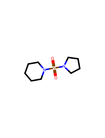 O=S(=O)(N1CCCCC1)N1CCCC1